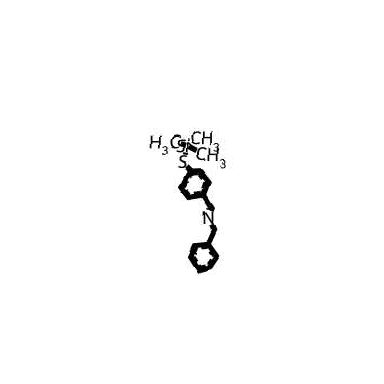 C[Si](C)(C)Sc1ccc(C=NCc2ccccc2)cc1